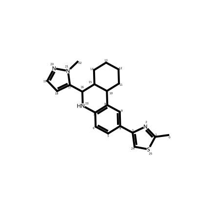 Cc1nc(-c2ccc3c(c2)C2CCCCC2C(c2ccnn2C)N3)cs1